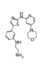 NCCNc1cccc(-c2cnc(Nc3cc(N4CCOCC4)ccn3)s2)c1